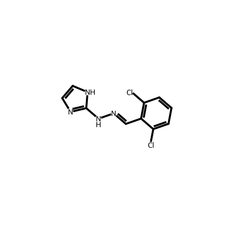 Clc1cccc(Cl)c1C=NNc1ncc[nH]1